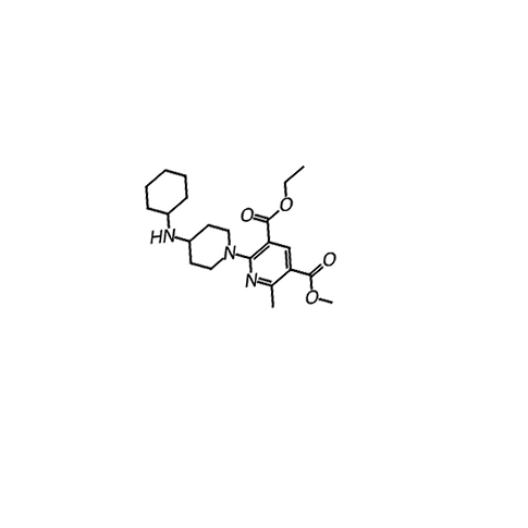 CCOC(=O)c1cc(C(=O)OC)c(C)nc1N1CCC(NC2CCCCC2)CC1